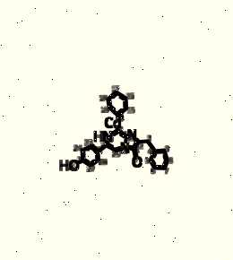 O=c1c(Cc2ccccc2)nc2[c]([Cd][c]3ccccc3)[nH]c(-c3ccc(O)cc3)cn1-2